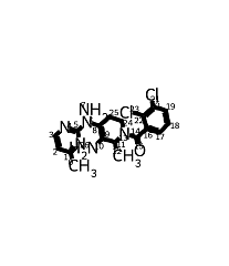 Cc1ccnc(N(N)C2=C(N)C(C)N(C(=O)c3cccc(Cl)c3Cl)CC2)n1